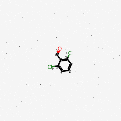 O=Cc1c(Cl)c[c]cc1Cl